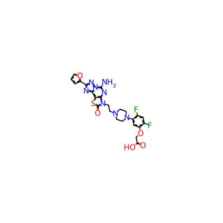 Nc1nc2c(sc(=O)n2CCN2CCN(c3cc(OCC(=O)O)c(F)cc3F)CC2)c2nc(-c3ccco3)nn12